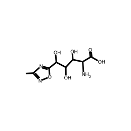 Cc1noc(C(O)C(O)C(O)C(N)C(=O)O)n1